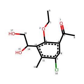 CCOc1c(C(C)=O)cc(Cl)c(C)c1C(O)CO